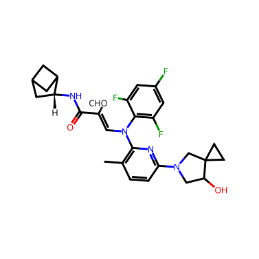 Cc1ccc(N2CC(O)C3(CC3)C2)nc1N(/C=C(\C=O)C(=O)N[C@@H]1CC2CC1C2)c1c(F)cc(F)cc1F